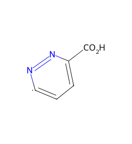 O=C(O)c1cc[c]nn1